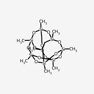 C[Si]12C[Si]3(C)O[Si]4(C)O[Si](C)(O1)O[Si]1(C)O[Si](C)(O2)O[Si](C)(O3)O[Si](C)(O4)O1